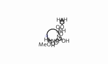 COC(=O)[C@@]12C[C@H]1/C=C\CCCCC[C@H](NC(=O)OC1C[C@@H]3C[C@@H]3C1)C(=O)N1C[C@@H](O)C[C@H]1C(=O)N2